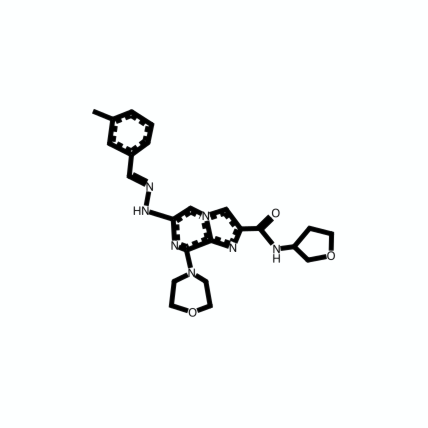 Cc1cccc(/C=N/Nc2cn3cc(C(=O)NC4CCOC4)nc3c(N3CCOCC3)n2)c1